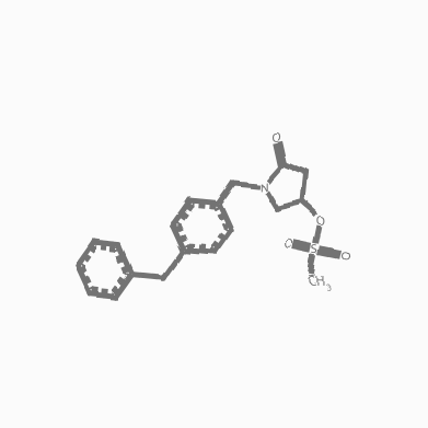 CS(=O)(=O)OC1CC(=O)N(Cc2ccc(Cc3ccccc3)cc2)C1